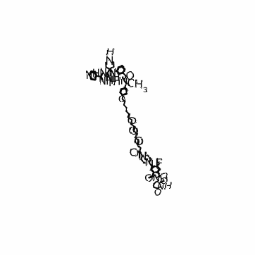 C[C@@H](NC(=O)c1cccc(NC2(C(=N)NC(=N)c3ccncc3)CCNCC2)c1)c1ccc(OCCCCCCOCCOCCOCCC(=O)N2CCN(c3cc4c(cc3F)C(=O)N(C3CCC(=O)NC3=O)C4=O)CC2)cc1